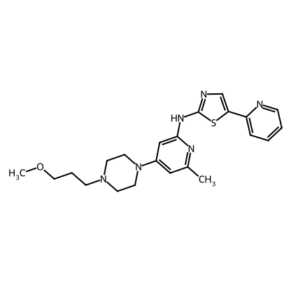 COCCCN1CCN(c2cc(C)nc(Nc3ncc(-c4ccccn4)s3)c2)CC1